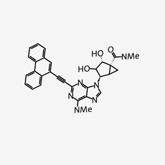 CNC(=O)[C@]12CC1[C@@H](n1cnc3c(NC)nc(C#Cc4cc5ccccc5c5ccccc45)nc31)C(O)[C@@H]2O